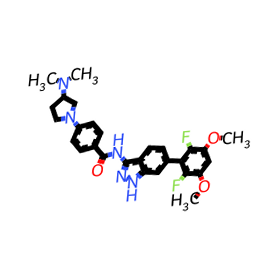 COc1cc(OC)c(F)c(-c2ccc3c(NC(=O)c4ccc(N5CCC(N(C)C)C5)cc4)n[nH]c3c2)c1F